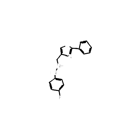 Fc1ccc(NNCc2coc(-c3ccccc3)n2)cc1